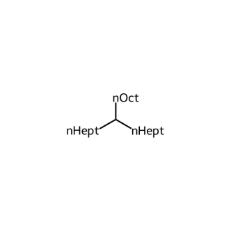 CCCCCCCCC(CCCCCCC)CCCCCCC